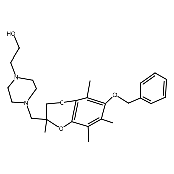 Cc1c(C)c2c(c(C)c1OCc1ccccc1)CCC(C)(CN1CCN(CCO)CC1)O2